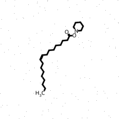 CCCCCCCC/C=C\CCCCCCCC(=O)ON1CCCCC1